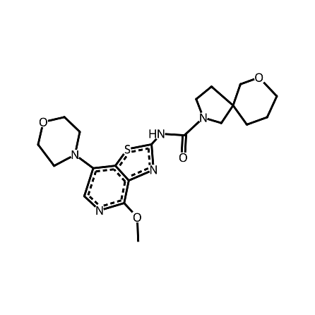 COc1ncc(N2CCOCC2)c2sc(NC(=O)N3CCC4(CCCOC4)C3)nc12